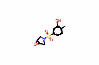 Cc1ccc(S(=O)(=O)N2CC3OC3C2)cc1O